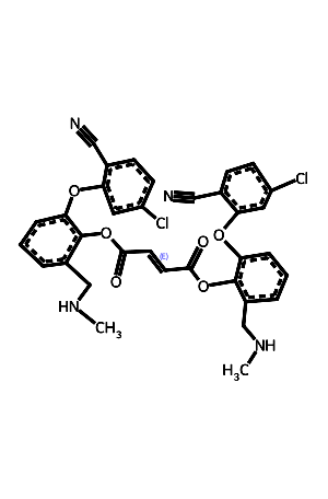 CNCc1cccc(Oc2cc(Cl)ccc2C#N)c1OC(=O)/C=C/C(=O)Oc1c(CNC)cccc1Oc1cc(Cl)ccc1C#N